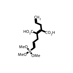 C=CCC(C(=O)O)=C(CC=C[Si](OC)(OC)OC)C(=O)O